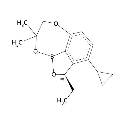 CC[C@H]1OB2OC(C)(C)COc3ccc(C4CC4)c1c32